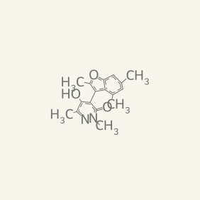 Cc1cc(C)c2c(-c3c(O)c(C)nn(C)c3=O)c(C)oc2c1